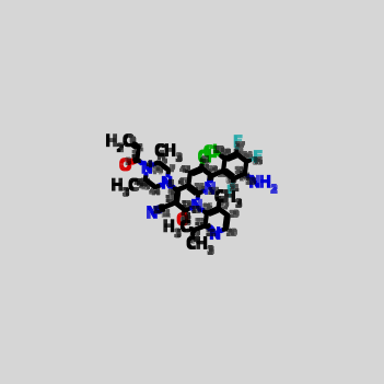 C=CC(=O)N1[C@H](C)CN(c2c(C#N)c(=O)n(-c3c(C)ccnc3C(C)C)c3nc(C4=C(F)[C@H](N)C(F)C(F)=C4Cl)c(Cl)cc23)C[C@@H]1C